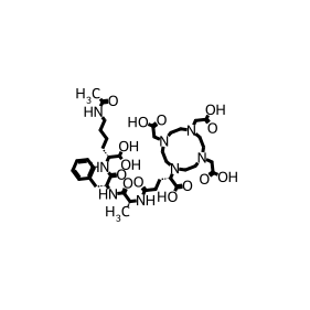 CC(=O)NCCCC[C@@H](NC(=O)[C@@H](Cc1ccccc1)NC(=O)[C@@H](C)NC(=O)CC[C@@H](C(=O)O)N1CCN(CC(=O)O)CCN(CC(=O)O)CCN(CC(=O)O)CC1)C(O)O